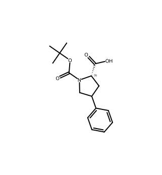 CC(C)(C)OC(=O)N1CC(c2ccccc2)C[C@H]1C(=O)O